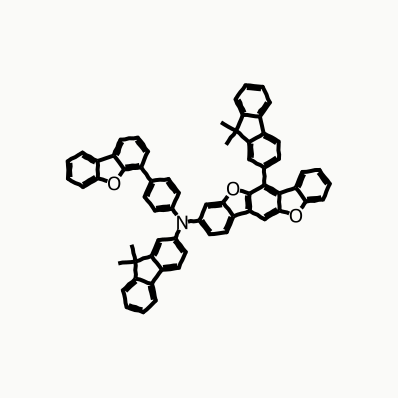 CC1(C)c2ccccc2-c2ccc(-c3c4oc5cc(N(c6ccc(-c7cccc8c7oc7ccccc78)cc6)c6ccc7c(c6)C(C)(C)c6ccccc6-7)ccc5c4cc4oc5ccccc5c34)cc21